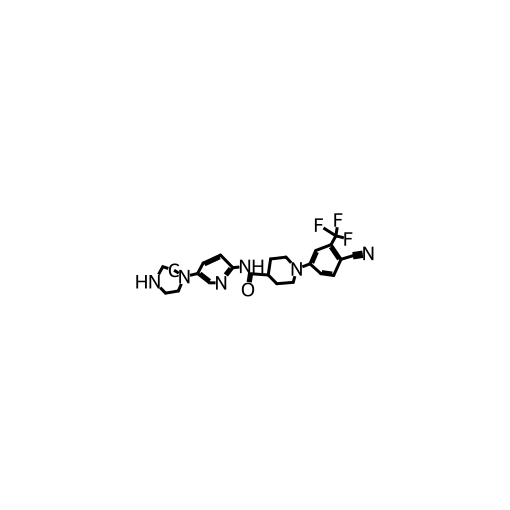 N#Cc1ccc(N2CCC(C(=O)Nc3ccc(N4CCNCC4)cn3)CC2)cc1C(F)(F)F